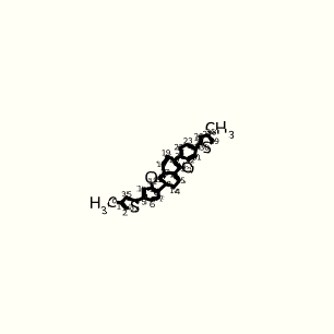 Cc1csc(-c2ccc3c(c2)oc2c3ccc3c2ccc2c4ccc(-c5cc(C)cs5)cc4oc23)c1